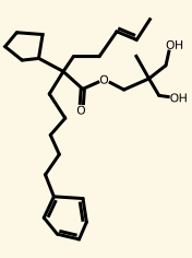 CC=CCCC(CCCCCc1ccccc1)(C(=O)OCC(C)(CO)CO)C1CCCC1